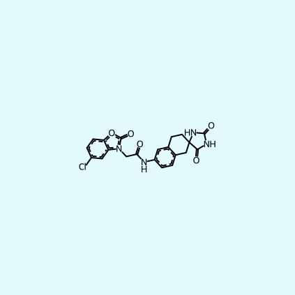 O=C(Cn1c(=O)oc2ccc(Cl)cc21)Nc1ccc2c(c1)CCC1(C2)NC(=O)NC1=O